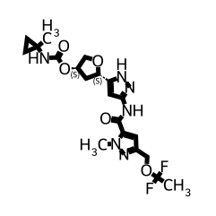 Cn1nc(COC(C)(F)F)cc1C(=O)Nc1cc([C@@H]2C[C@H](OC(=O)NC3(C)CC3)CO2)[nH]n1